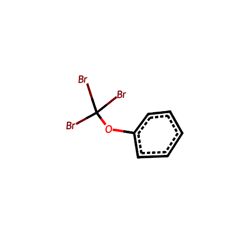 BrC(Br)(Br)Oc1ccccc1